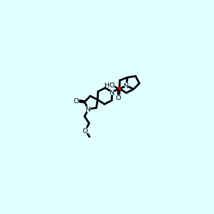 COCCN1CC2(CCN(C3CC4CCC(C3)N4C(=O)O)CC2)CC1=O